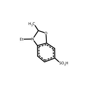 CCN1c2ccc(S(=O)(=O)O)cc2OC1C